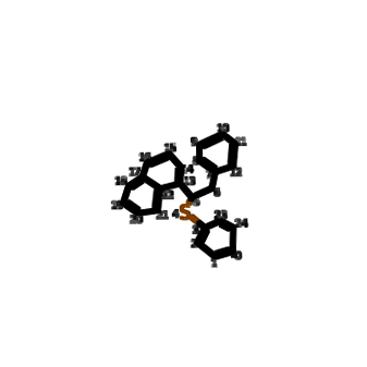 [c]1ccc(SC(Cc2ccccc2)c2cccc3ccccc23)cc1